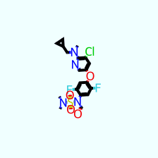 CN(CC1CC1)c1ncc(Oc2cc(F)c(N(C=O)S(=O)(=O)N(C)C)cc2F)cc1Cl